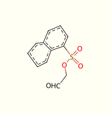 O=CCOS(=O)(=O)c1cccc2ccccc12